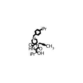 CC#CCN1C(=O)[C@@H]([C@H](O)C(C)C)NC(=O)C12CCN(Cc1ccc(C(C)C)cc1)CC2